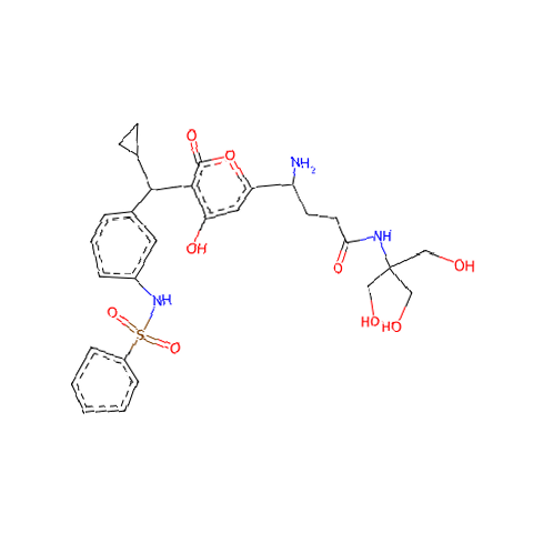 NC(CCC(=O)NC(CO)(CO)CO)c1cc(O)c(C(c2cccc(NS(=O)(=O)c3ccccc3)c2)C2CC2)c(=O)o1